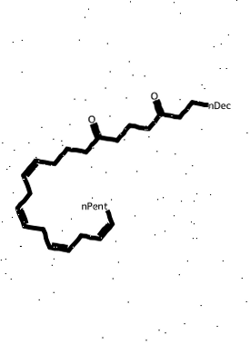 CCCCC/C=C\C/C=C\C/C=C\C/C=C\CCCC(=O)CCCC(=O)CCCCCCCCCCCC